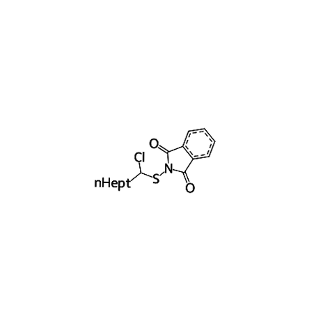 CCCCCCCC(Cl)SN1C(=O)c2ccccc2C1=O